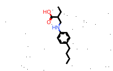 CCCCc1ccc(NCC(CC)C(=O)O)cc1